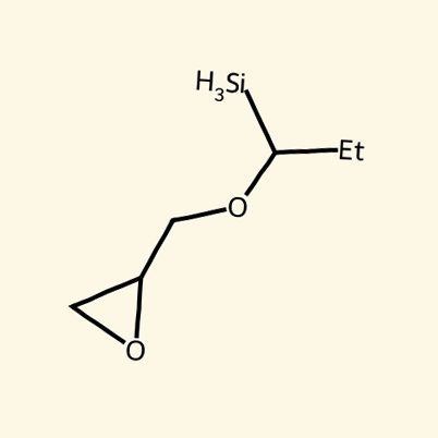 CCC([SiH3])OCC1CO1